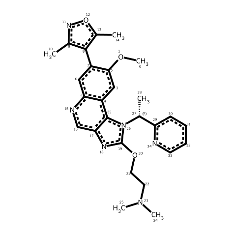 COc1cc2c(cc1-c1c(C)noc1C)ncc1nc(OCCN(C)C)n([C@H](C)c3ccccn3)c12